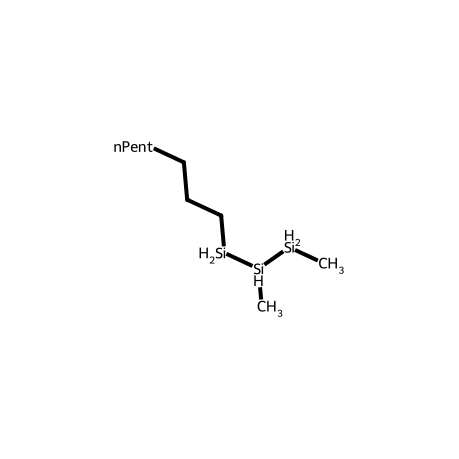 CCCCCCCC[SiH2][SiH](C)[SiH2]C